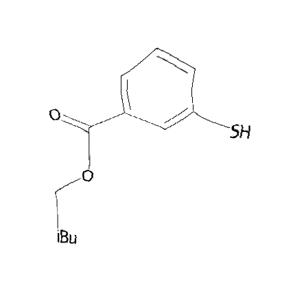 CCC(C)COC(=O)c1cccc(S)c1